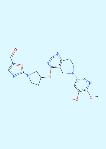 COc1cc(N2CCc3ncnc(OC4CCN(c5ncc(C=O)o5)C4)c3C2)cnc1OC